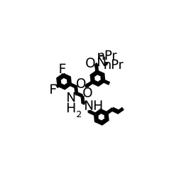 CC=Cc1cccc(CNCC(OC(=O)c2cc(C)cc(C(=O)N(CCC)CCC)c2)C(N)Cc2cc(F)cc(F)c2)c1